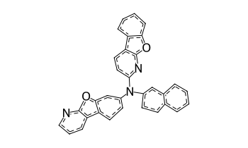 c1ccc2cc(N(c3ccc4c(c3)oc3ncccc34)c3ccc4c(n3)oc3ccccc34)ccc2c1